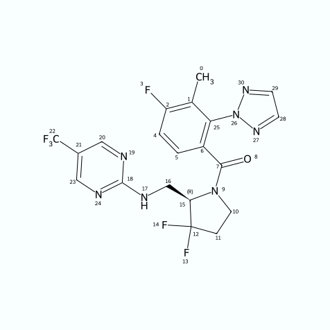 Cc1c(F)ccc(C(=O)N2CCC(F)(F)[C@H]2CNc2ncc(C(F)(F)F)cn2)c1-n1nccn1